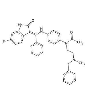 CC(=O)N(CCN(C)Cc1ccccc1)c1ccc(N/C(=C2\C(=O)Nc3cc(F)ccc32)c2ccccc2)cc1